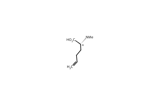 C=CCC[C@@H](NC)C(=O)O